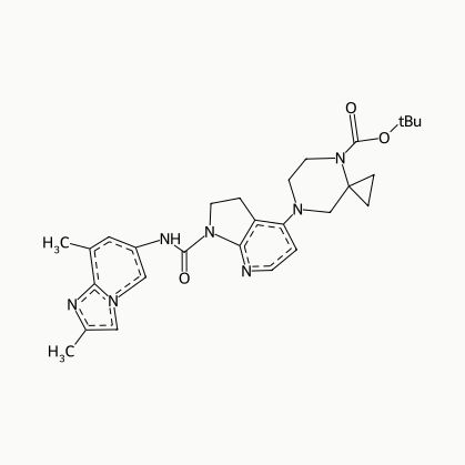 Cc1cn2cc(NC(=O)N3CCc4c(N5CCN(C(=O)OC(C)(C)C)C6(CC6)C5)ccnc43)cc(C)c2n1